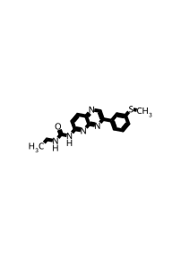 CCNC(=O)Nc1ccc2ncc(-c3cccc(SC)c3)nc2n1